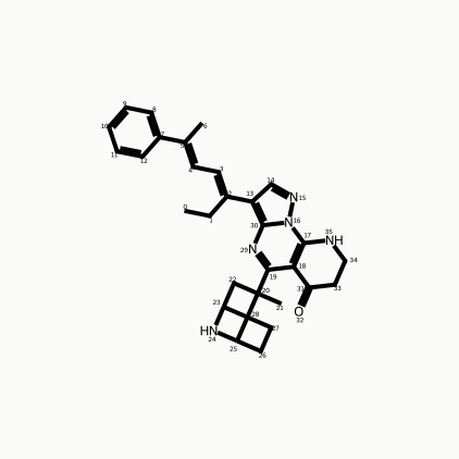 CC/C(=C\C=C(/C)c1ccccc1)c1cnn2c3c(c(C4(C)CC5NC6CCC654)nc12)C(=O)CCN3